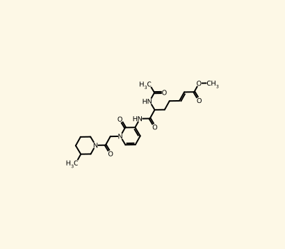 COC(=O)C=CCCC(NC(C)=O)C(=O)Nc1cccn(CC(=O)N2CCCC(C)C2)c1=O